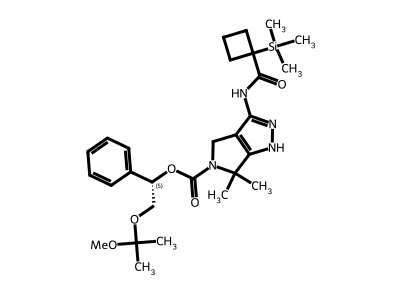 COC(C)(C)OC[C@@H](OC(=O)N1Cc2c(NC(=O)C3([Si](C)(C)C)CCC3)n[nH]c2C1(C)C)c1ccccc1